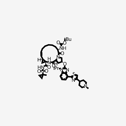 CC(C)n1c(O[C@@H]2C[C@H]3C(=O)N[C@]4(C(=O)NS(=O)(=O)C5(C)CC5)C[C@H]4/C=C\CCCCC[C@H](NC(=O)OC(C)(C)C)C(=O)N3C2)nc2c(-c3nc(C4CCN(C)CC4)cs3)cccc21